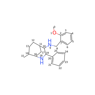 COc1ccccc1CNC1C2CCC(C)C(C2)NC1c1ccccc1